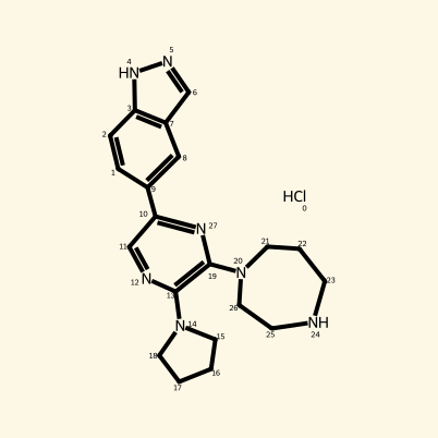 Cl.c1cc2[nH]ncc2cc1-c1cnc(N2CCCC2)c(N2CCCNCC2)n1